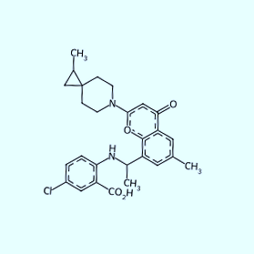 Cc1cc(C(C)Nc2ccc(Cl)cc2C(=O)O)c2oc(N3CCC4(CC3)CC4C)cc(=O)c2c1